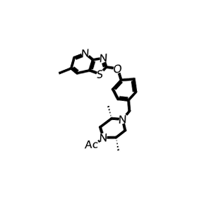 CC(=O)N1C[C@H](C)N(Cc2ccc(Oc3nc4ncc(C)cc4s3)cc2)C[C@@H]1C